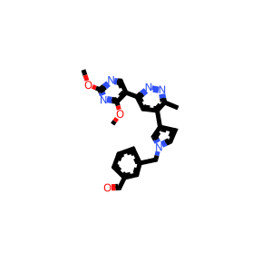 COc1ncc(-c2cc(-c3ccn(Cc4cccc(C=O)c4)c3)c(C)nn2)c(OC)n1